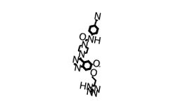 COc1cc2c(N3CCN(C(=O)Nc4ccc(C#N)cc4)CC3)ncnc2cc1OCCc1nnn[nH]1